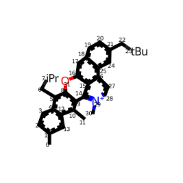 Cc1ccc2c(CC(C)C)c3c(c(C)c2c1)-c1c2c(cc4ccc(CC(C)(C)C)cc4c2cc[n+]1C)O3